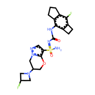 NS(=O)(=NC(=O)Nc1c2c(c(F)c3c1CC3)CCC2)c1cnn2c1OCC(N1CC(F)C1)C2